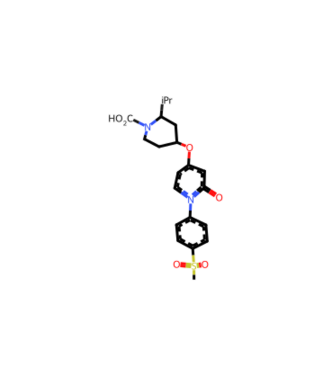 CC(C)C1CC(Oc2ccn(-c3ccc(S(C)(=O)=O)cc3)c(=O)c2)CCN1C(=O)O